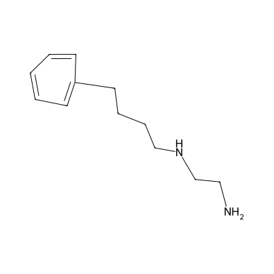 NCCNCCCCc1ccccc1